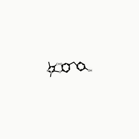 Cc1nn(C)c(Oc2ccc(Cc3ccc(O)cc3)cc2)c1C=O